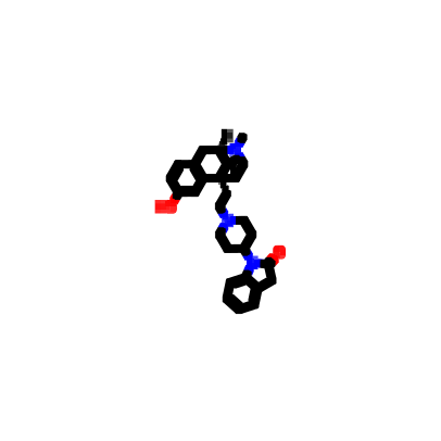 C[C@H]1[C@H]2Cc3ccc(O)cc3[C@]1(CCN1CCC(N3C(=O)Cc4ccccc43)CC1)CCN2C